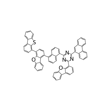 c1ccc2c(c1)cc(-c1nc(-c3cccc4c(-c5ccc(-c6cccc7c6sc6ccccc67)c6oc7ccccc7c56)cccc34)nc(-c3cccc4c3oc3ccccc34)n1)c1ccccc12